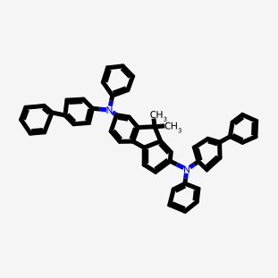 CC1(C)c2cc(N(c3ccccc3)c3ccc(-c4ccccc4)cc3)ccc2-c2ccc(N(c3ccccc3)c3ccc(-c4ccccc4)cc3)cc21